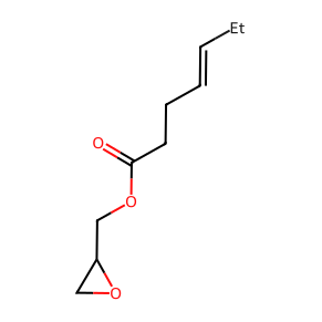 CCC=CCCC(=O)OCC1CO1